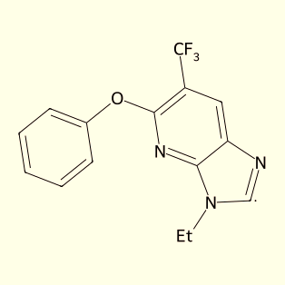 CCn1[c]nc2cc(C(F)(F)F)c(Oc3ccccc3)nc21